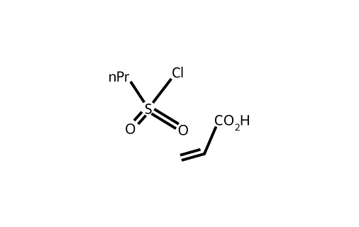 C=CC(=O)O.CCCS(=O)(=O)Cl